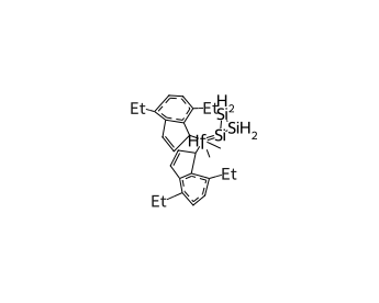 CCc1ccc(CC)c2c1C=C[CH]2[Hf]([CH3])([CH3])([CH]1C=Cc2c(CC)ccc(CC)c21)=[Si]1[SiH2][SiH2]1